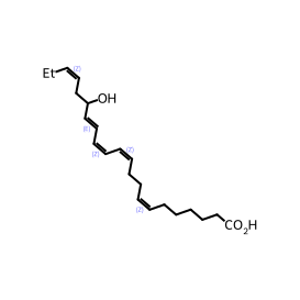 CC/C=C\CC(O)/C=C/C=C\C=C/CC/C=C\CCCCCC(=O)O